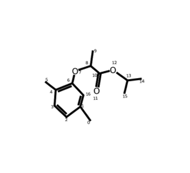 Cc1ccc(C)c(OC(C)C(=O)OC(C)C)c1